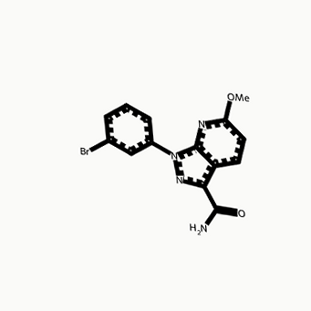 COc1ccc2c(C(N)=O)nn(-c3cccc(Br)c3)c2n1